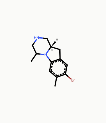 Cc1cc2c(cc1Br)C[C@H]1CNCC(C)N21